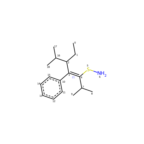 CCC(/C(=C(\SN)C(C)C)c1ccccc1)C(C)C